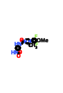 COc1c(F)cc(N2CCN(C(=O)CNc3ccc4[nH]c(=O)oc4c3)C[C@H]2C)cc1F